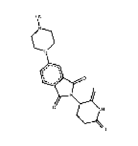 N#CB1CCN(c2ccc3c(c2)C(=O)N(C2CCC(=O)NC2=O)C3=O)CC1